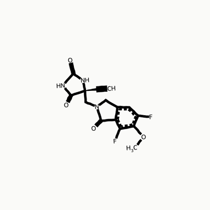 C#C[C@]1(CN2Cc3cc(F)c(OC)c(F)c3C2=O)NC(=O)NC1=O